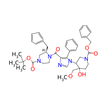 COCC1(O)CCN(C(=O)OCc2ccccc2)CC1n1cnc(C(=O)N2CCN(C(=O)OC(C)(C)C)C[C@H]2Cc2ccccc2)c1-c1ccccc1